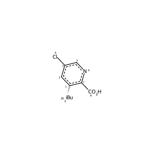 CC[C@@H](C)c1cc(Cl)cnc1C(=O)O